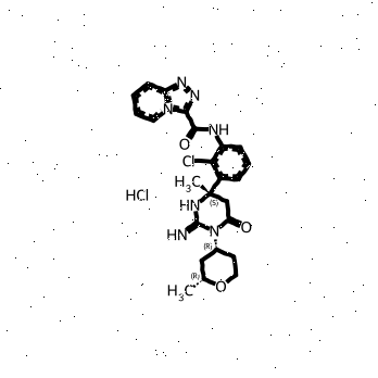 C[C@@H]1C[C@H](N2C(=N)N[C@](C)(c3cccc(NC(=O)c4nnc5ccccn45)c3Cl)CC2=O)CCO1.Cl